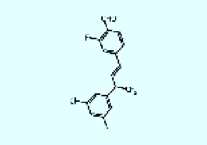 Cc1cc(Cl)cc(C(/C=C/c2ccc(C=O)c(F)c2)C(F)(F)F)c1